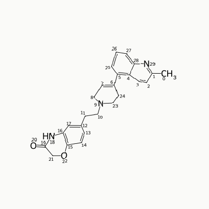 Cc1ccc2c(C3=CCN(CCc4ccc5c(c4)NC(=O)CO5)CC3)cccc2n1